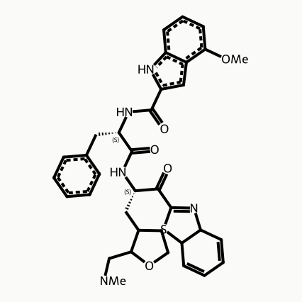 CNCC1OCCC1C[C@H](NC(=O)[C@H](Cc1ccccc1)NC(=O)c1cc2c(OC)cccc2[nH]1)C(=O)C1=NC2C=CC=CC2S1